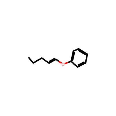 CCCC=COc1ccccc1